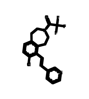 O=C(N1CCc2ccc(Cl)c(C=Cc3cccnc3)c2CC1)C(F)(F)F